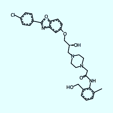 Cc1cccc(CO)c1NC(=O)CN1CCN(C[C@H](O)COc2ccc3oc(-c4ccc(Cl)cc4)nc3c2)CC1